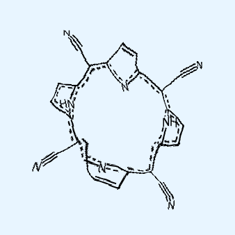 N#Cc1c2nc(c(C#N)c3ccc([nH]3)c(C#N)c3nc(c(C#N)c4ccc1[nH]4)C=C3)C=C2